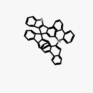 c1ccc(-c2ccccc2N(c2ccc3c(c2)C2(c4ccccc4-c4ccccc42)c2c-3sc3ccccc23)c2cc3ccccc3c3ccccc23)cc1